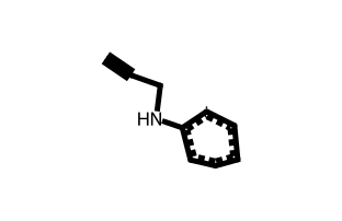 C#CCNc1[c]cccc1